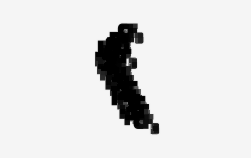 FC(F)(F)C(F)(F)O[Si](C(F)(F)F)(C(F)(F)F)C(F)(F)C(F)(F)C(F)(F)C(F)(F)C(F)(F)C(F)(F)C(F)(F)C(F)(F)C(F)(F)C(F)(F)F